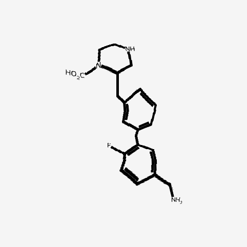 NCc1ccc(F)c(-c2cccc(CC3CNCCN3C(=O)O)c2)c1